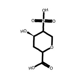 O=C(O)C1C[C@@H](O)C(S(=O)(=O)O)CO1